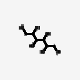 O[CH]C(O)C(O)C(O)C(O)CO